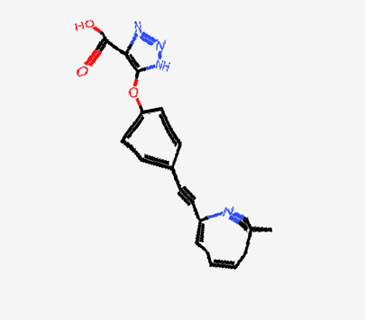 Cc1cccc(C#Cc2ccc(Oc3[nH]nnc3C(=O)O)cc2)n1